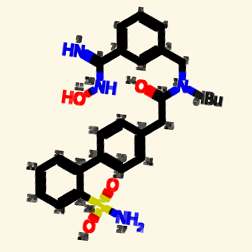 CCC(C)N(Cc1cccc(C(=N)NO)c1)C(=O)Cc1ccc(-c2ccccc2S(N)(=O)=O)cc1